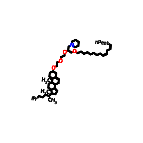 CCCCC/C=C\C/C=C\CCCCCCCCOCC(CN1CCCCC1)OCCOCCO[C@H]1CC[C@@]2(C)C(=CCC3C4CCC([C@H](C)CCCC(C)C)[C@@]4(C)CCC32)C1